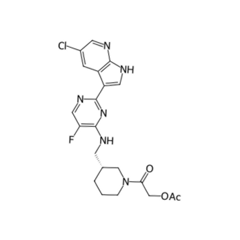 CC(=O)OCC(=O)N1CCC[C@H](CNc2nc(-c3c[nH]c4ncc(Cl)cc34)ncc2F)C1